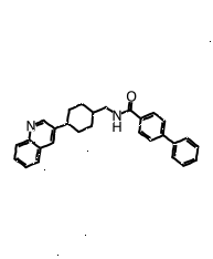 O=C(NCC1CCC(c2cnc3ccccc3c2)CC1)c1ccc(-c2ccccc2)cc1